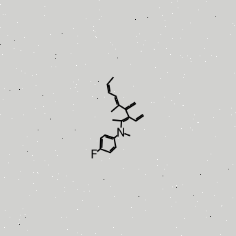 C=C/C(C(=C)/C(C)=C/C=C\C)=C(/C)N(C)c1ccc(F)cc1